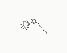 CCCCCCc1csc(B2OCC(C)(C)C(C)(C)O2)c1